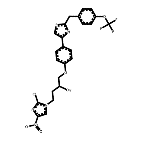 O=[N+]([O-])c1cn(CCC(O)COc2ccc(-c3csc(Cc4ccc(OC(F)(F)F)cc4)n3)cc2)c(Cl)n1